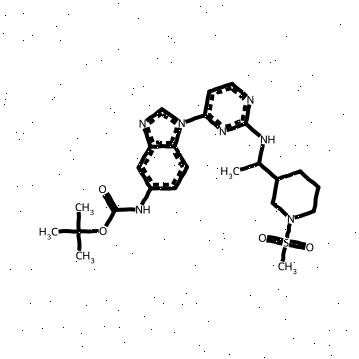 CC(Nc1nccc(-n2cnc3cc(NC(=O)OC(C)(C)C)ccc32)n1)C1CCCN(S(C)(=O)=O)C1